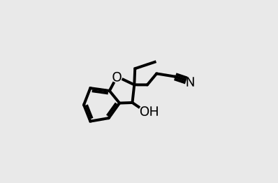 CCC1(CCC#N)Oc2ccccc2C1O